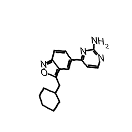 Nc1nccc(-c2ccc3noc(CC4CCCCC4)c3c2)n1